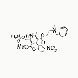 COC(=O)C1=C(COC(N)=O)NC(C)=C(C(=O)OCCN(C)Cc2ccccc2)C1c1cccc([N+](=O)[O-])c1